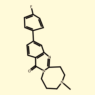 CN1CCCn2c(nc3cc(-c4ccc(F)cc4)ccc3c2=O)CC1